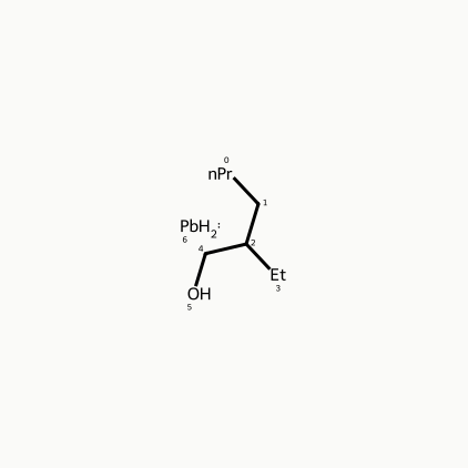 CCCCC(CC)CO.[PbH2]